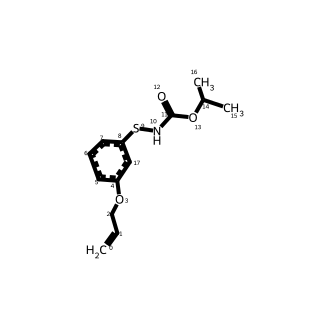 C=CCOc1cccc(SNC(=O)OC(C)C)c1